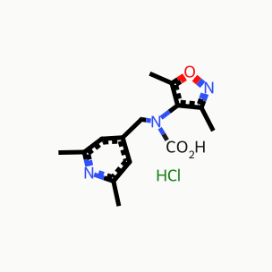 Cc1cc(CN(C(=O)O)c2c(C)noc2C)cc(C)n1.Cl